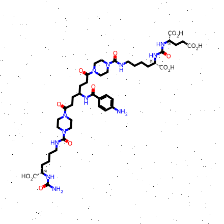 NC(=O)N[C@@H](CCCCNC(=O)N1CCN(C(=O)CCC(CCC(=O)N2CCN(C(=O)NCCCC[C@H](NC(=O)N[C@@H](CCC(=O)O)C(=O)O)C(=O)O)CC2)NC(=O)c2ccc(N)cc2)CC1)C(=O)O